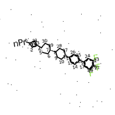 CCCC12CC([C@H]3CC[C@H](C4CCC(c5ccc(-c6cc(F)c(F)c(F)c6)cc5)CC4)CC3)(C1)C2